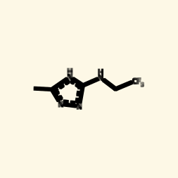 Cc1nnc(NCC(F)(F)F)[nH]1